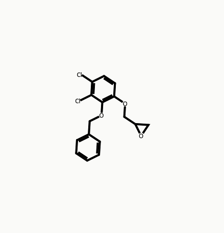 Clc1ccc(OCC2CO2)c(OCc2ccccc2)c1Cl